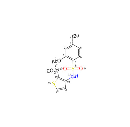 CC(=O)Oc1cc(C(C)(C)C)ccc1S(=O)(=O)Nc1ccsc1C(=O)O